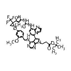 COc1ccc(CNc2ncnc3c2c(-c2ccc(NC(=O)Nc4cc(C5(C(F)(F)F)CC5)on4)c4nccn24)cn3CCC(=O)OC(C)(C)C)c(OC)c1